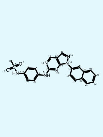 CS(=O)(=O)Nc1ccc(Nc2ncc3cnn(-c4ccc5ccccc5c4)c3n2)cc1